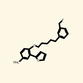 O=Cc1ccc(OCCCCCc2cccc(CF)c2)c(-c2ccco2)c1